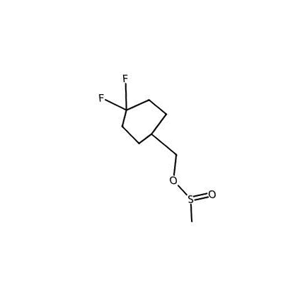 CS(=O)OCC1CCC(F)(F)CC1